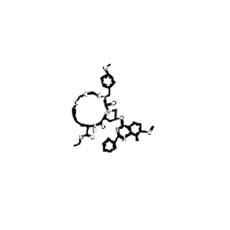 CCOC(=O)C1CCC=CCCCCCN(Cc2ccc(OC)cc2)C(=O)[N+]2CC(Oc3nc(-c4ccccc4)nc4c(C)c(OC)ccc34)CC2C(=O)N1